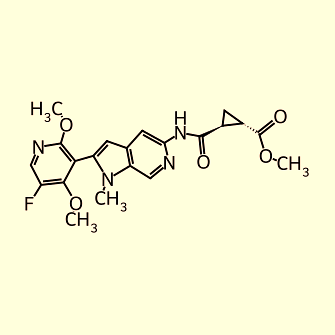 COC(=O)[C@H]1C[C@@H]1C(=O)Nc1cc2cc(-c3c(OC)ncc(F)c3OC)n(C)c2cn1